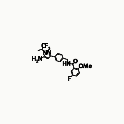 COc1ccc(F)cc1C(=O)NCc1ccc(-c2cc(N)n(C(C)C(F)(F)F)n2)cc1